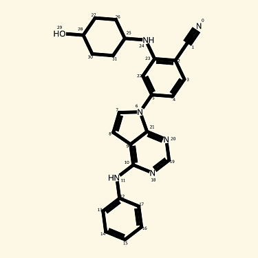 N#Cc1ccc(-n2ccc3c(Nc4ccccc4)ncnc32)cc1NC1CCC(O)CC1